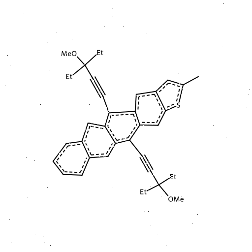 CCC(C#Cc1c2cc3ccccc3cc2c(C#CC(CC)(CC)OC)c2cc3sc(C)cc3cc12)(CC)OC